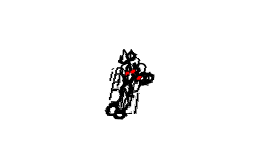 CC(C)C1C(=O)OC1C(=O)N1C2CCC1CN(c1nc(OCC34CCCN3CCC4)nc3c(F)c(-c4cccc5cccc(Cl)c45)ncc13)C2